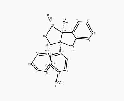 COc1ccc([C@@]23Oc4ccccc4[C@]2(O)[C@@H](O)C[C@H]3c2ccccc2)cc1